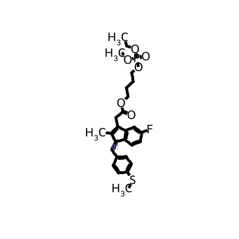 CCOP(=O)(OC)OCCCCOC(=O)CC1=C(C)/C(=C/c2ccc(SC)cc2)c2ccc(F)cc21